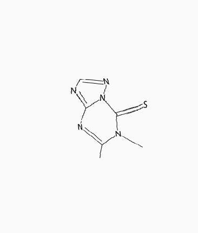 Cc1nc2ncnn2c(=S)n1C